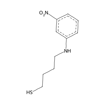 O=[N+]([O-])c1cccc(NCCCCS)c1